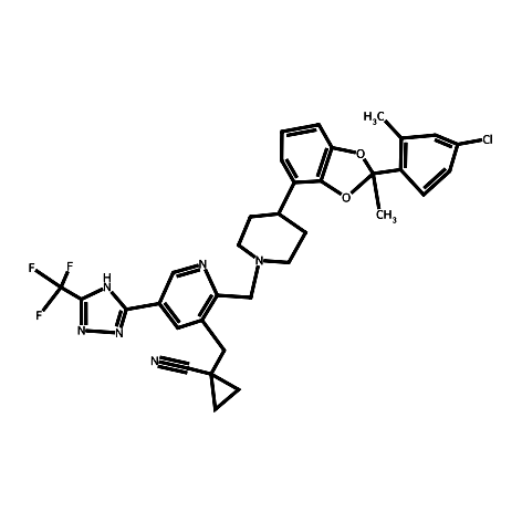 Cc1cc(Cl)ccc1C1(C)Oc2cccc(C3CCN(Cc4ncc(-c5nnc(C(F)(F)F)[nH]5)cc4CC4(C#N)CC4)CC3)c2O1